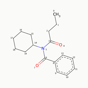 CCCC(=O)N(C(=O)c1ccccc1)C1CCCCC1